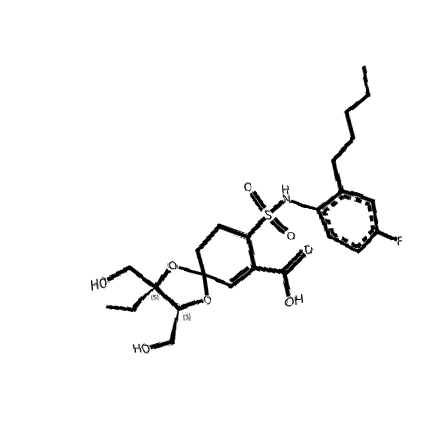 CCCCCc1cc(F)ccc1NS(=O)(=O)C1CCC2(C=C1C(=O)O)O[C@@H](CO)[C@](CC)(CO)O2